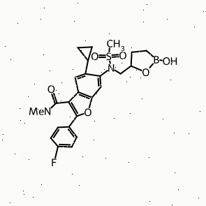 CNC(=O)c1c(-c2ccc(F)cc2)oc2cc(N(CC3CCB(O)O3)S(C)(=O)=O)c(C3CC3)cc12